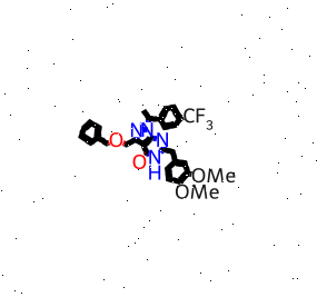 COc1ccc(Cc2nc3c(c(COCc4ccccc4)nn3C(C)c3ccc(C(F)(F)F)cc3)c(=O)[nH]2)cc1OC